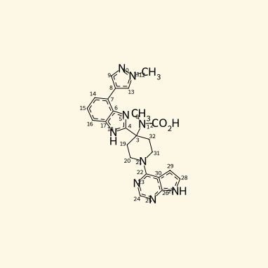 CN(C(=O)O)C1(c2nc3c(-c4cnn(C)c4)cccc3[nH]2)CCN(c2ncnc3[nH]ccc23)CC1